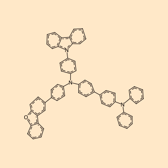 c1ccc(N(c2ccccc2)c2ccc(-c3ccc(N(c4ccc(-c5ccc6oc7ccccc7c6c5)cc4)c4ccc(-n5c6ccccc6c6ccccc65)cc4)cc3)cc2)cc1